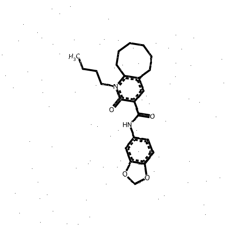 CCCCn1c2c(cc(C(=O)Nc3ccc4c(c3)OCO4)c1=O)CCCCCC2